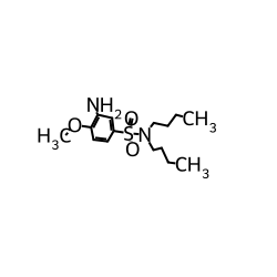 CCCCN(CCCC)S(=O)(=O)c1ccc(OC)c(N)c1